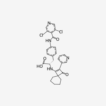 O=C(Nc1ccc(C[C@H](NC2=C(c3cccnc3)C(=O)C23CCCCC3)C(=O)O)cc1)c1c(Cl)cncc1Cl